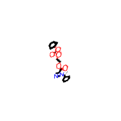 C[C@H](c1ccccc1)n1cncc1C(=O)OCCOC(=O)Oc1ccccc1